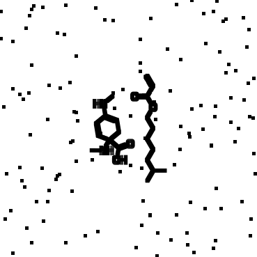 C=CC(=O)OCCCCCC(C)C.CNC1=CCC(NC)(C(=O)O)C=C1